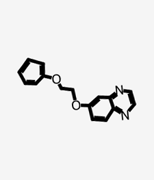 c1ccc(OCCOc2ccc3nccnc3c2)cc1